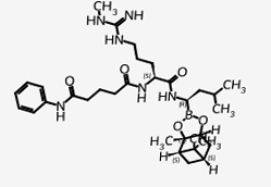 CNC(=N)NCCC[C@H](NC(=O)CCCC(=O)Nc1ccccc1)C(=O)N[C@@H](CC(C)C)B1O[C@@H]2C[C@@H]3C[C@@H](C3(C)C)[C@]2(C)O1